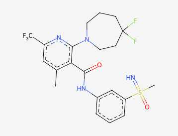 Cc1cc(C(F)(F)F)nc(N2CCCC(F)(F)CC2)c1C(=O)Nc1cccc(S(C)(=N)=O)c1